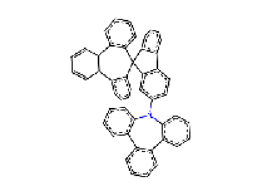 C1=CC2c3ccccc3C3(c4ccccc4-c4ccc(N5c6ccccc6-c6ccccc6-c6ccccc65)cc43)c3ccccc3C2C=C1